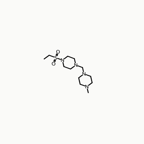 CCS(=O)(=O)N1CCN(CN2CCN(C)CC2)CC1